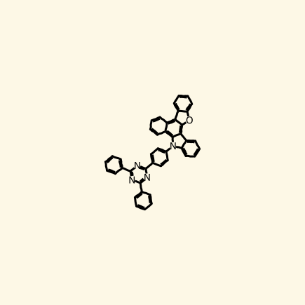 c1ccc(-c2nc(-c3ccccc3)nc(-c3ccc(-n4c5ccccc5c5c6oc7ccccc7c6c6ccccc6c54)cc3)n2)cc1